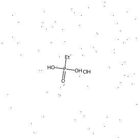 CCP(=O)(O)O.Cl